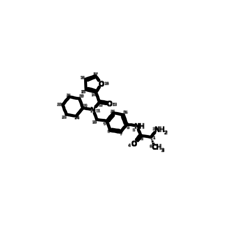 C[C@@H](N)C(=O)Nc1ccc(CN(C(=O)c2ccco2)C2CCCCC2)cc1